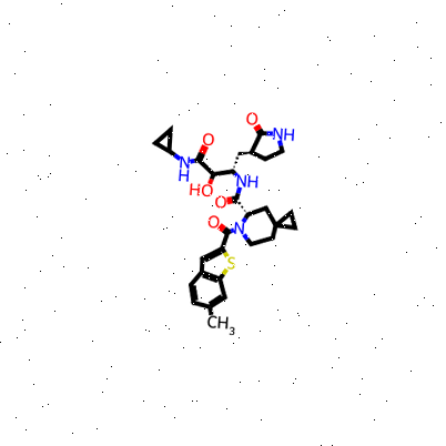 Cc1ccc2cc(C(=O)N3CCC4(CC4)C[C@H]3C(=O)N[C@@H](C[C@@H]3CCNC3=O)C(O)C(=O)NC3CC3)sc2c1